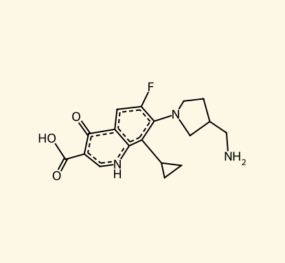 NCC1CCN(c2c(F)cc3c(=O)c(C(=O)O)c[nH]c3c2C2CC2)C1